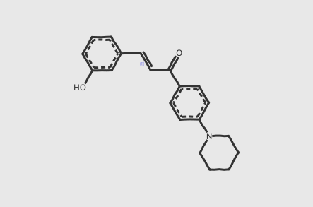 O=C(/C=C/c1cccc(O)c1)c1ccc(N2CCCCC2)cc1